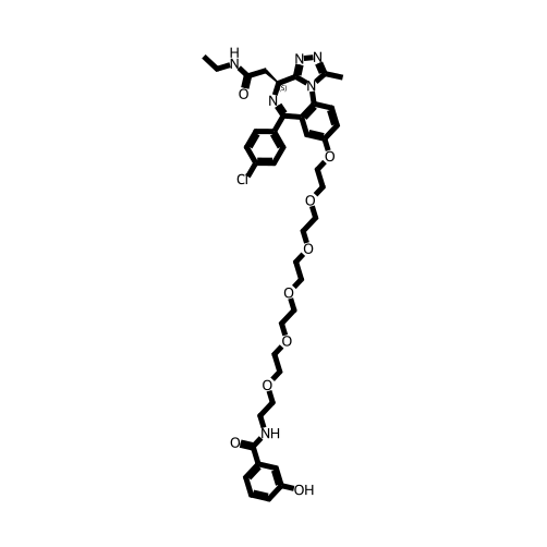 CCNC(=O)C[C@@H]1N=C(c2ccc(Cl)cc2)c2cc(OCCOCCOCCOCCOCCOCCNC(=O)c3cccc(O)c3)ccc2-n2c(C)nnc21